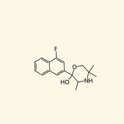 CC1NC(C)(C)COC1(O)c1cc(F)c2ccccc2c1